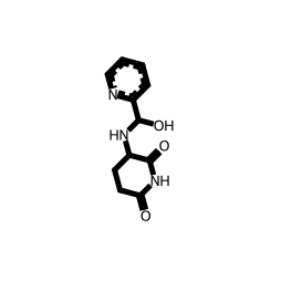 O=C1CCC(NC(O)c2ccccn2)C(=O)N1